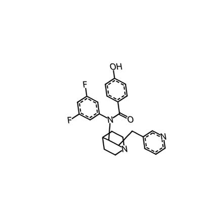 O=C(c1ccc(O)cc1)N(c1cc(F)cc(F)c1)C1C2CCN(CC2)C1Cc1cccnc1